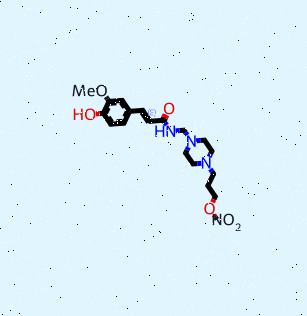 COc1cc(/C=C/C(=O)NCN2CCN(CCCO[N+](=O)[O-])CC2)ccc1O